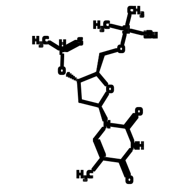 Cc1cn([C@H]2C[C@H](O[PH](C)=S)[C@@H](CO[Si](C)(C)C(C)(C)C)O2)c(=O)[nH]c1=O